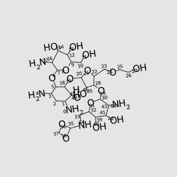 NC1CC(N)C(OC2OC(CO)C(O)C(O)C2N)C(OC2OC(COCCO)C(OC3OC(CNC4OCO4)C(O)C(O)C3N)C2O)C1O